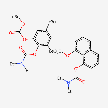 CCCCOC(=O)Oc1cc(C(C)(C)C)cc(C)c1OC(=O)N(CC)CC.CCOC(=O)Oc1cccc2cccc(OC(=O)N(CC)CC)c12